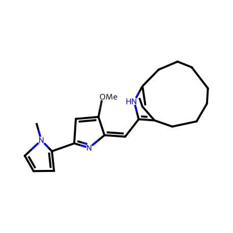 COC1=CC(c2cccn2C)=N/C1=C/c1[nH]c2cc1CCCCCCC2